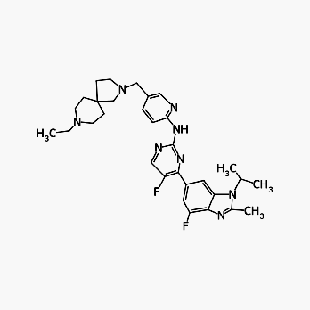 CCN1CCC2(CC1)CCN(Cc1ccc(Nc3ncc(F)c(-c4cc(F)c5nc(C)n(C(C)C)c5c4)n3)nc1)C2